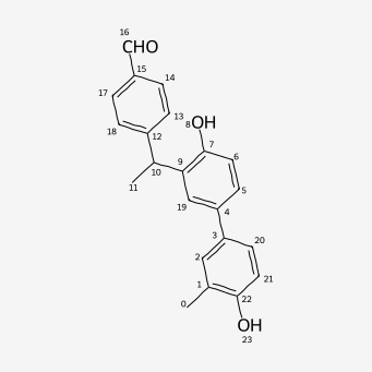 Cc1cc(-c2ccc(O)c(C(C)c3ccc(C=O)cc3)c2)ccc1O